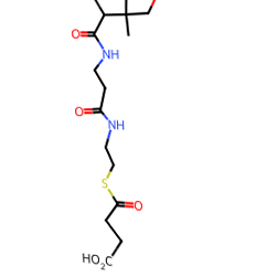 CC(=O)OC(C(=O)NCCC(=O)NCCSC(=O)CCC(=O)O)C(C)(C)CO